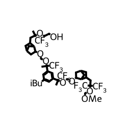 CCC(C)c1cc(C(C)(OCOC2CC3CC(CC(C)(OCCO)C(F)(F)F)C2C3)C(F)(F)F)cc(C(C)(OCOC2CC3CC(CC(OCOC)(C(F)(F)F)C(F)(F)F)C2C3)C(F)(F)F)c1